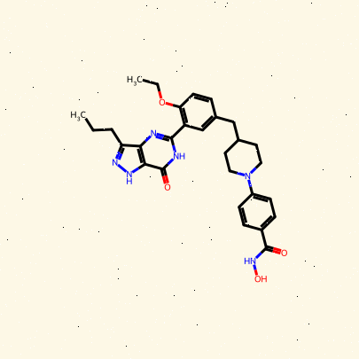 CCCc1n[nH]c2c(=O)[nH]c(-c3cc(CC4CCN(c5ccc(C(=O)NO)cc5)CC4)ccc3OCC)nc12